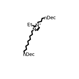 CCCCCCCCCCCCCCCCCCCn1cc[n+](CCCCCCCCCCCCC)c1CC